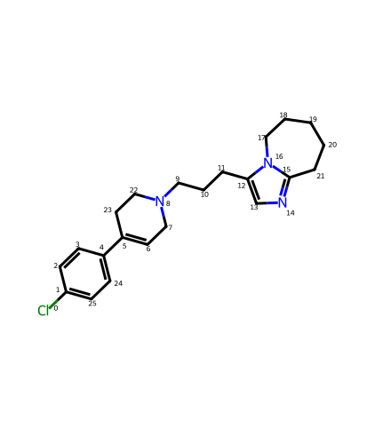 Clc1ccc(C2=CCN(CCCc3cnc4n3CCCCC4)CC2)cc1